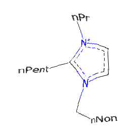 CCCCCCCCCCn1cc[n+](CCC)c1CCCCC